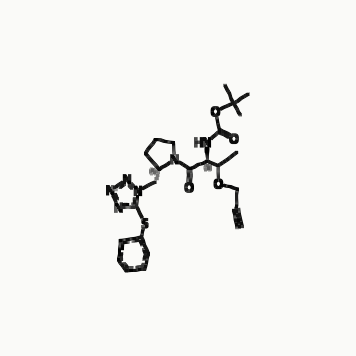 C#CCOC(C)[C@H](NC(=O)OC(C)(C)C)C(=O)N1CCC[C@H]1Cn1nnnc1Sc1ccccc1